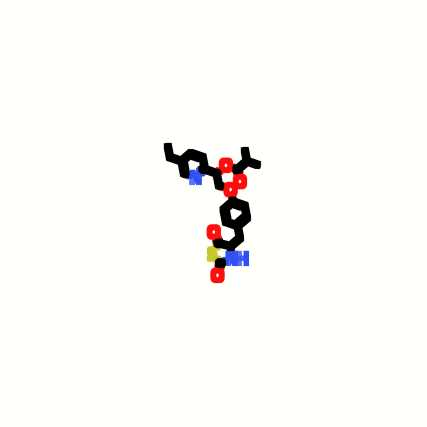 CCc1ccc(C(COc2ccc(CC3NC(=O)SC3=O)cc2)OC(=O)C(C)C)nc1